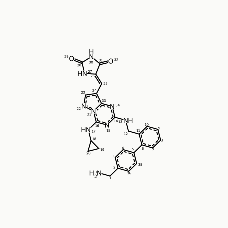 NCc1ccc(-c2ccccc2CNc2nc(NC3CC3)n3ncc(/C=C4\NC(=O)NC4=O)c3n2)cc1